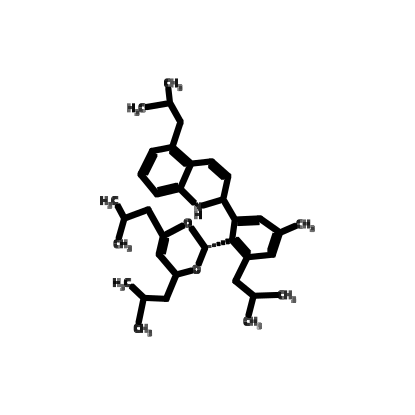 Cc1cc(CC(C)C)c([C@H]2OC(CC(C)C)=CC(CC(C)C)O2)c(C2C=Cc3c(CC(C)C)cccc3N2)c1